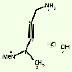 CNC(C)C#CCN.Cl.Cl